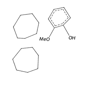 C1CCCCCC1.C1CCCCCC1.COc1ccccc1O